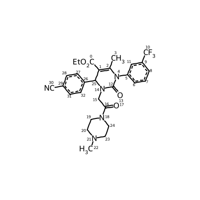 CCOC(=O)C1=C(C)N(c2cccc(C(F)(F)F)c2)C(=O)N(CC(=O)N2CCN(C)CC2)C1c1ccc(C#N)cc1